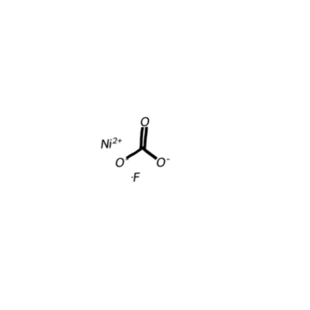 O=C([O-])[O-].[F].[Ni+2]